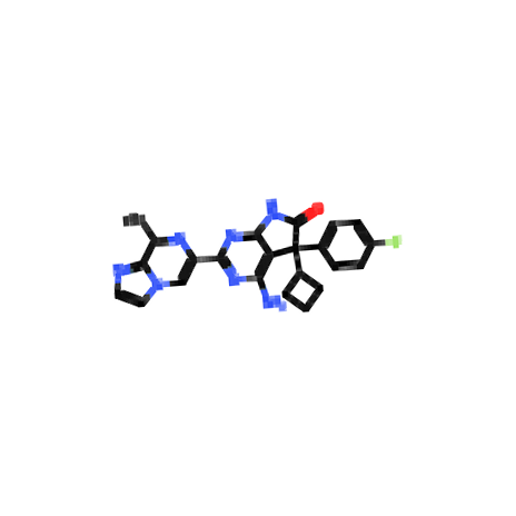 CCCCc1nc(-c2nc(N)c3c(n2)NC(=O)C3(c2ccc(F)cc2)C2CCC2)cn2ccnc12